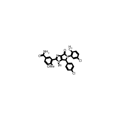 COc1ccc(C(N)=O)cc1-c1nc2c(n1C(C)C)C(c1ccc(Cl)cc1)N(c1cc(Cl)ccc1C)C2=O